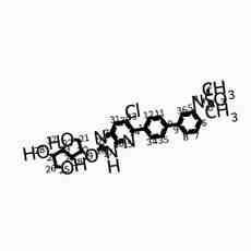 CS(C)(=O)=Nc1cccc(-c2ccc(-c3nc4[nH]c(O[C@@H]5CO[C@H]6[C@@H]5OC[C@H]6O)nc4cc3Cl)cc2)c1